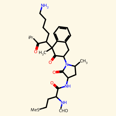 CSCCC(NC=O)C(=O)NC1CC(C)N(C2Cc3ccccc3C(C)(C(CCCCN)C(=O)C(C)C)C2=O)C1=O